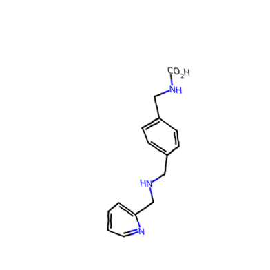 O=C(O)NCc1ccc(CNCc2ccccn2)cc1